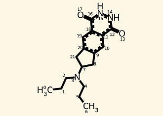 CCCN(CCC)C1Cc2cc3c(=O)[nH][nH]c(=O)c3cc2C1